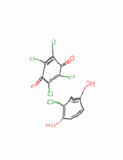 O=C1C(Cl)=C(Cl)C(=O)C(Cl)=C1Cl.Oc1ccc(O)c(Cl)c1